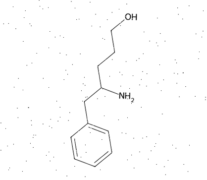 NC(CCCO)Cc1ccccc1